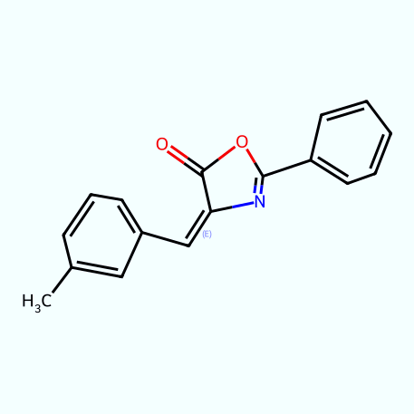 Cc1cccc(/C=C2/N=C(c3ccccc3)OC2=O)c1